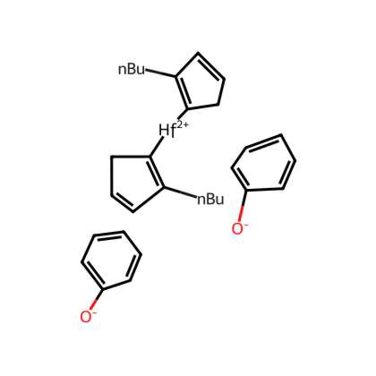 CCCCC1=[C]([Hf+2][C]2=C(CCCC)C=CC2)CC=C1.[O-]c1ccccc1.[O-]c1ccccc1